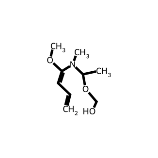 C=C/C=C(/OC)N(C)C(C)OCO